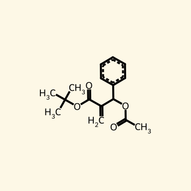 C=C(C(=O)OC(C)(C)C)C(OC(C)=O)c1ccccc1